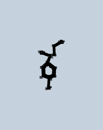 [O-][S+](CCBr)c1ccc(Br)cc1